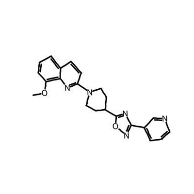 COc1cccc2ccc(N3CCC(c4nc(-c5cccnc5)no4)CC3)nc12